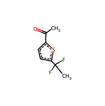 CC(=O)c1ccc(C(C)(F)F)s1